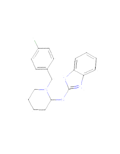 Fc1ccc(CN2CCCCC2Nc2nc3ccccc3[nH]2)cc1